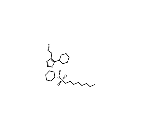 C1CCCCC1.CCCCCCCCS(=O)(=O)OF.O=CCc1ccsc1C1CCCCC1